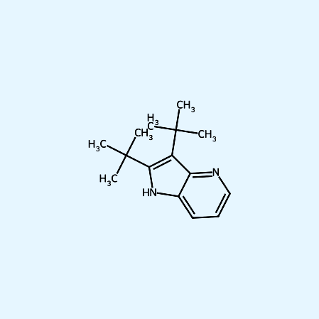 CC(C)(C)c1[nH]c2cccnc2c1C(C)(C)C